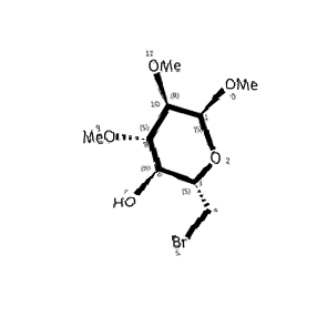 CO[C@H]1O[C@H](CBr)[C@@H](O)[C@H](OC)[C@H]1OC